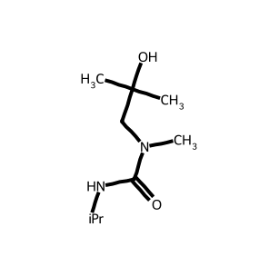 CC(C)NC(=O)N(C)CC(C)(C)O